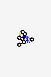 c1ccc(-c2ccc(-c3nc4ccccc4nc3-n3c4ccc5cccc6sc7cccc8ccc3c(c87)c4c56)cc2)cc1